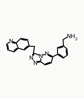 NCc1cccc(-c2ccc3nnc(Cc4ccc5ncccc5c4)n3n2)c1